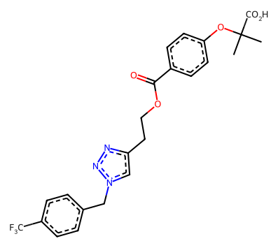 CC(C)(Oc1ccc(C(=O)OCCc2cn(Cc3ccc(C(F)(F)F)cc3)nn2)cc1)C(=O)O